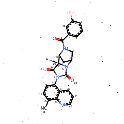 Bc1cccc(C(=O)N2CC3CC2[C@H]2C(=O)N(c4ccc(C#N)c5ncccc45)C(=O)N32)c1